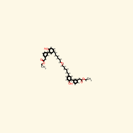 CCOC(=O)Cc1cccc(-c2cc(CCCCCCOCCCCCCc3ccc(O)c(-c4cccc(CC(=O)OCC)c4)c3)ccc2O)c1